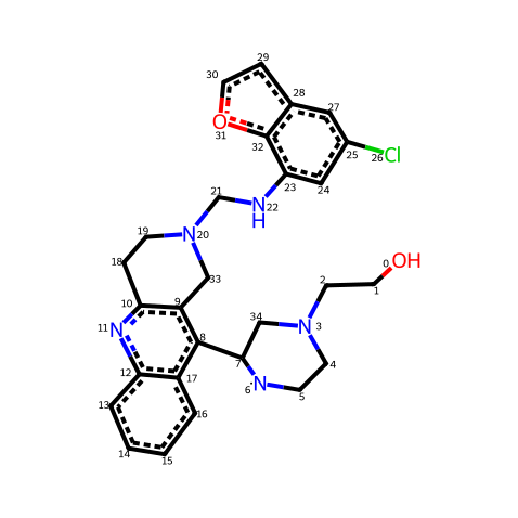 OCCN1CC[N]C(c2c3c(nc4ccccc24)CCN(CNc2cc(Cl)cc4ccoc24)C3)C1